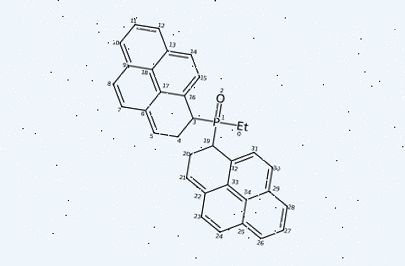 CCP(=O)(C1CC=c2ccc3cccc4ccc1c2c43)C1CC=c2ccc3cccc4ccc1c2c43